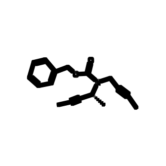 CC#CCN(C(=O)OCc1ccccc1)[C@H](C)C#CC